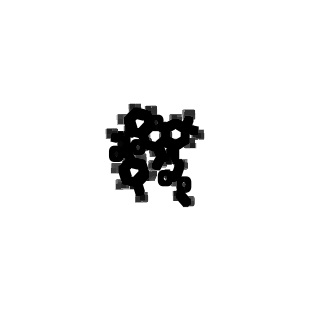 CCOC(=O)Cn1c(C)c(Cc2ccccc2N(C)S(=O)(=O)c2ccc(C)cc2)c2c1CC(C)(C)CC2=O